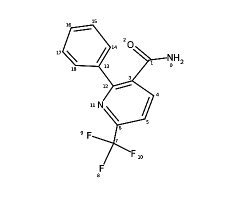 NC(=O)c1ccc(C(F)(F)F)nc1-c1ccccc1